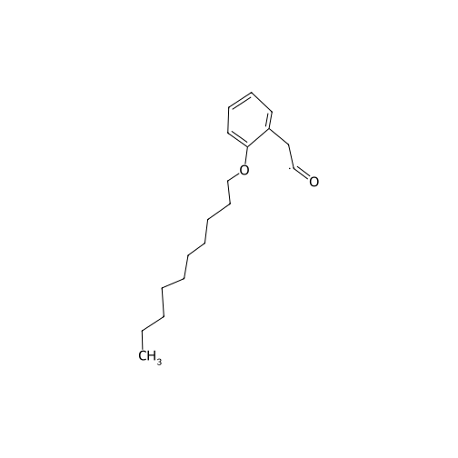 CCCCCCCCCCOc1ccccc1C[C]=O